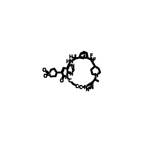 CC1c2cn(nn2)CCCCn2c(=O)c(C3CCS(=O)(=O)CC3)cc3c(ncnc32)N[C@H](C)c2cccc(c2F)C(F)(F)C2CCN1CC2